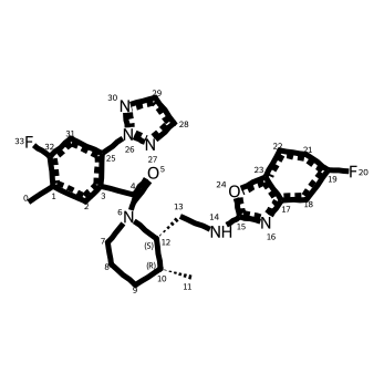 Cc1cc(C(=O)N2CCC[C@@H](C)[C@H]2CNc2nc3cc(F)ccc3o2)c(-n2nccn2)cc1F